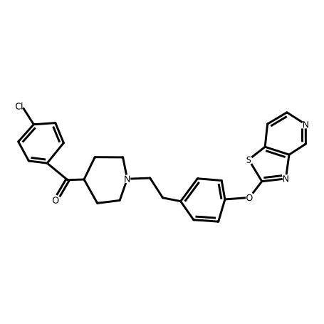 O=C(c1ccc(Cl)cc1)C1CCN(CCc2ccc(Oc3nc4cnccc4s3)cc2)CC1